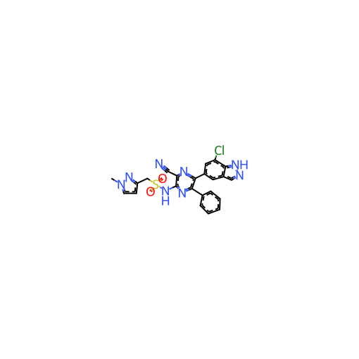 Cn1ccc(CS(=O)(=O)Nc2nc(-c3ccccc3)c(-c3cc(Cl)c4[nH]ncc4c3)nc2C#N)n1